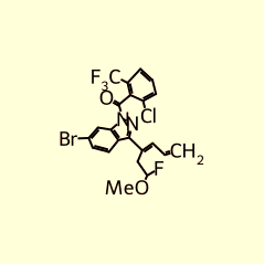 C=C/C=C(\CC(F)OC)c1nn(C(=O)c2c(Cl)cccc2C(F)(F)F)c2cc(Br)ccc12